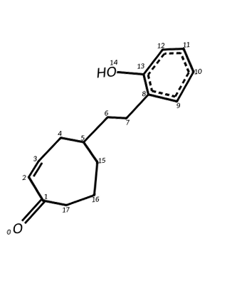 O=C1C=CCC(CCc2ccccc2O)CCC1